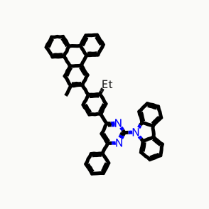 CCc1cc(-c2cc(-c3ccccc3)nc(-n3c4ccccc4c4ccccc43)n2)ccc1-c1cc2c3ccccc3c3ccccc3c2cc1C